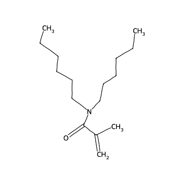 C=C(C)C(=O)N(CCCCCC)CCCCCC